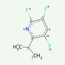 CC(C)c1nc(F)c(F)cc1F